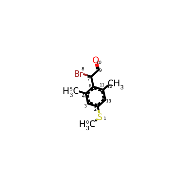 CSc1cc(C)c(C(Br)C=O)c(C)c1